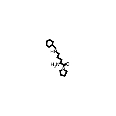 N[C@@H](CCCNCC1CCCCC1)C(=O)N1CCCC1